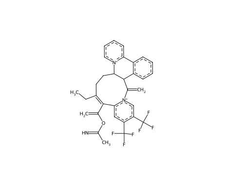 C=C(OC(C)=N)/C1=C(\CC)CCC2C(C(=C)[n+]3cc(C(F)(F)F)c(C(F)(F)F)cc31)c1ccccc1-c1cccc[n+]12